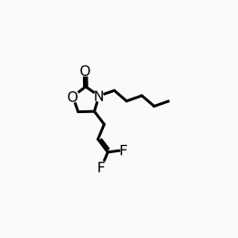 CCCCCN1C(=O)OCC1CC=C(F)F